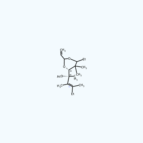 C=CC1OC(CC)C(C)(C)[C@H]([C@](C)(OC(C)=O)/C(C)=C(\C)CC)O1